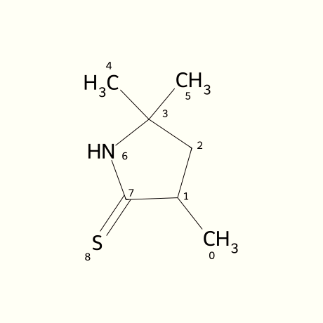 CC1CC(C)(C)NC1=S